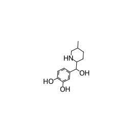 CC1CCC(C(O)c2ccc(O)c(O)c2)NC1